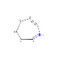 [CH]1C=NC=CCC1